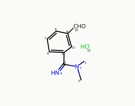 CN(C)C(=N)c1cccc(C=O)c1.Cl